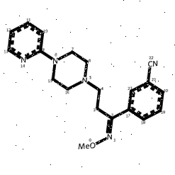 CO/N=C(\CCN1CCN(c2ccccn2)CC1)c1cccc(C#N)c1